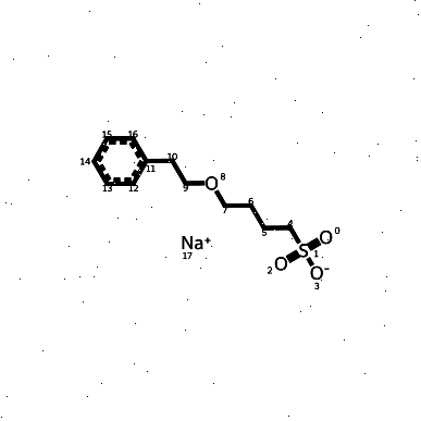 O=S(=O)([O-])CCCCOCCc1ccccc1.[Na+]